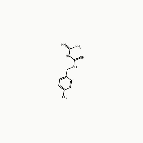 N=C(N)NC(=N)NCc1ccc(C(F)(F)F)cc1